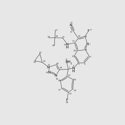 BC(Nc1ccc2nc(F)c(C#N)c(NCC(C)(C)C)c2c1)(c1ccc(F)cc1)c1cn(C2CC2)nn1